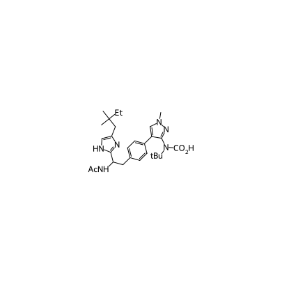 CCC(C)(C)Cc1c[nH]c(C(Cc2ccc(-c3cn(C)nc3N(C(=O)O)C(C)(C)C)cc2)NC(C)=O)n1